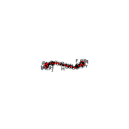 CC(C)C(NC(=O)C1CCCN1C(=O)[C@@H](NC(=O)c1ccc(C(=O)NS(=O)(=O)c2ccc(OCCOCCOCCNC(=O)NCCCCNC(=O)NCCOCCOCCOc3ccc(S(=O)(=O)NC(=O)c4ccc(C(=O)N[C@H](C(=O)N5CCC[C@H]5C(=O)NC(C(=O)C(F)(F)F)C(C)C)C(C)C)cc4)cc3)cc2)cc1)C(C)C)C(=O)C(F)(F)F